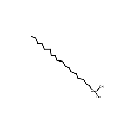 CCCCCCCCC=CCCCCCCCCOP(O)O